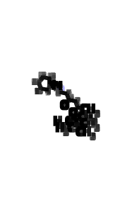 CC(CC(=O)C/C=N/N1CCCCC1)O[Si](C)(C)C(C)(C)C